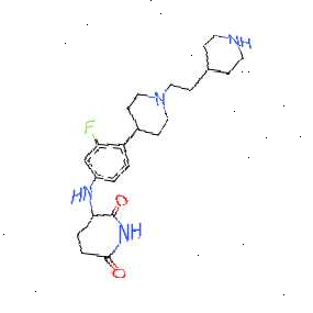 O=C1CCC(Nc2ccc(C3CCN(CCC4CCNCC4)CC3)c(F)c2)C(=O)N1